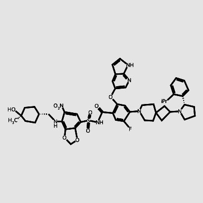 CC(C)c1ccccc1[C@@H]1CCCN1C1CC2(CCN(c3cc(Oc4cnc5[nH]ccc5c4)c(C(=O)NS(=O)(=O)c4cc([N+](=O)[O-])c(NC[C@H]5CC[C@](C)(O)CC5)c5c4OCO5)cc3F)CC2)C1